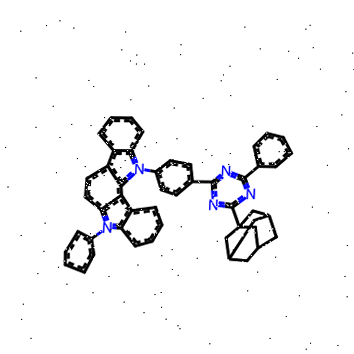 c1ccc(-c2nc(-c3ccc(-n4c5ccccc5c5ccc6c(c7ccccc7n6-c6ccccc6)c54)cc3)nc(C34CC5CC(CC(C5)C3)C4)n2)cc1